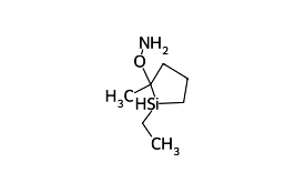 CC[SiH]1CCCC1(C)ON